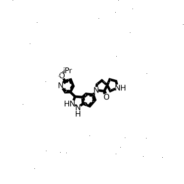 CC(C)Oc1ccc(C2NNc3ccc(N4CCC5(CCNC5)C4=O)cc32)cn1